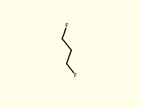 FCCCF